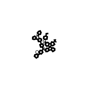 C=Cc1ccc(Oc2ccc(C3(c4ccc(C(C)(C)C)cc4)c4ccccc4-c4ccc(N(c5ccc(-c6ccc7c(c6)c6ccccc6n7-c6ccccc6)cc5)c5ccc6c(c5)oc5ccccc56)cc43)cc2)cc1